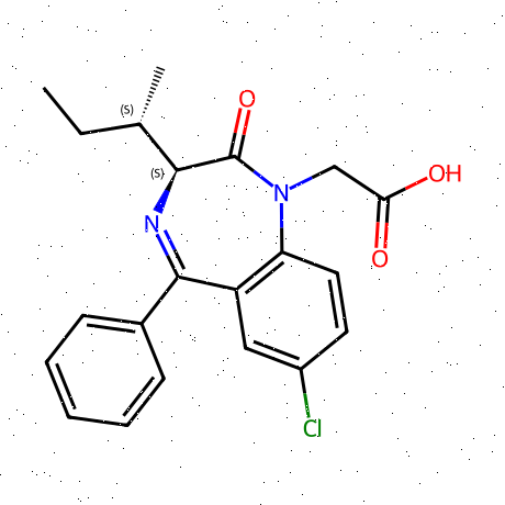 CC[C@H](C)[C@@H]1N=C(c2ccccc2)c2cc(Cl)ccc2N(CC(=O)O)C1=O